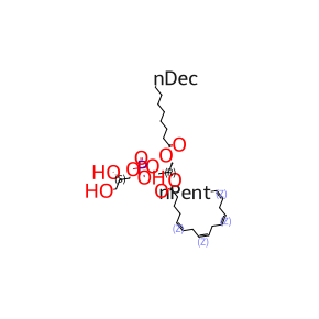 CCCCC/C=C\C/C=C\C/C=C\C/C=C\CCCC(=O)O[C@H](COC(=O)CCCCCCCCCCCCCCCCC)COP(=O)(O)OC[C@@H](O)CO